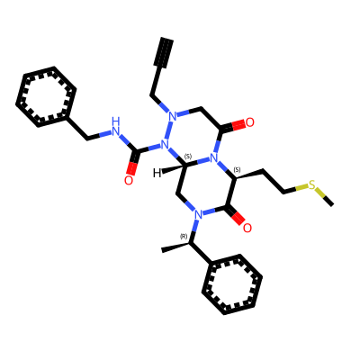 C#CCN1CC(=O)N2[C@@H](CCSC)C(=O)N([C@H](C)c3ccccc3)C[C@@H]2N1C(=O)NCc1ccccc1